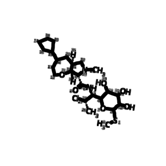 CSC1OC([C@H](NC(=O)[C@@H]2[C@@H]3OCCC(C4CCCC4)C[C@H]3CN2C)[C@H](C)Cl)C(O)C(O)C1O